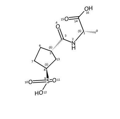 C[C@H](NC(=O)[C@H]1CC[C@H](S(=O)(=O)O)C1)C(=O)O